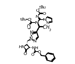 CC(c1cnn(C[C@H]2NC(=O)[C@H]2NC(=O)OCc2ccccc2)n1)N(C(=O)OC(C)(C)C)/C(=N/C(=O)OC(C)(C)C)n1cccn1